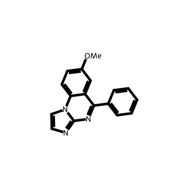 COc1ccc2c(c1)c(-c1ccccc1)nc1nccn12